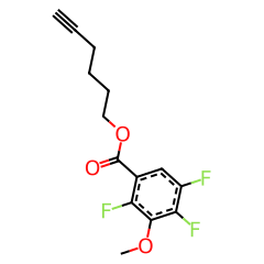 C#CCCCCOC(=O)c1cc(F)c(F)c(OC)c1F